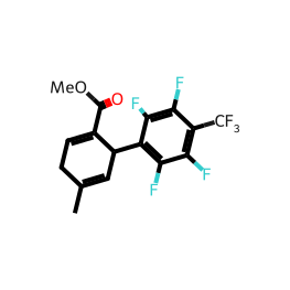 COC(=O)C1=CCC(C)=CC1c1c(F)c(F)c(C(F)(F)F)c(F)c1F